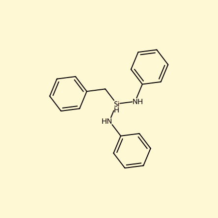 c1ccc(C[SiH](Nc2ccccc2)Nc2ccccc2)cc1